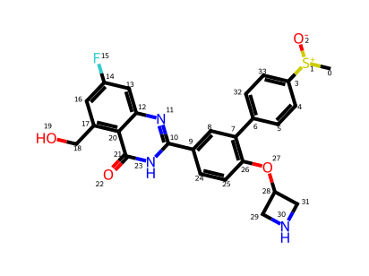 C[S+]([O-])c1ccc(-c2cc(-c3nc4cc(F)cc(CO)c4c(=O)[nH]3)ccc2OC2CNC2)cc1